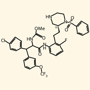 COC(=O)NC(C(=O)Nc1cccc(F)c1CC[C@H]1CNCCN1S(=O)(=O)c1ccccc1)C(c1ccc(Cl)cc1)c1cccc(OC(F)(F)F)c1